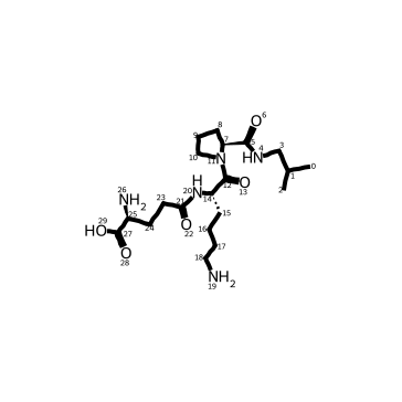 CC(C)CNC(=O)[C@@H]1CCCN1C(=O)[C@H](CCCCN)NC(=O)CC[C@H](N)C(=O)O